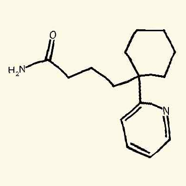 NC(=O)CCCC1(c2ccccn2)CCCCC1